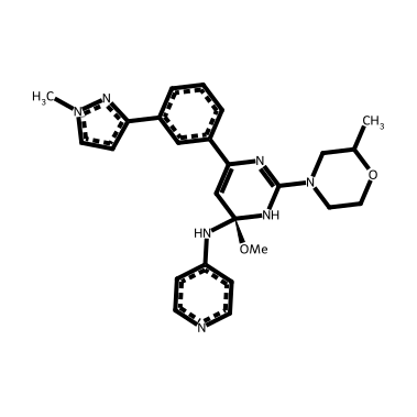 CO[C@@]1(Nc2ccncc2)C=C(c2cccc(-c3ccn(C)n3)c2)N=C(N2CCOC(C)C2)N1